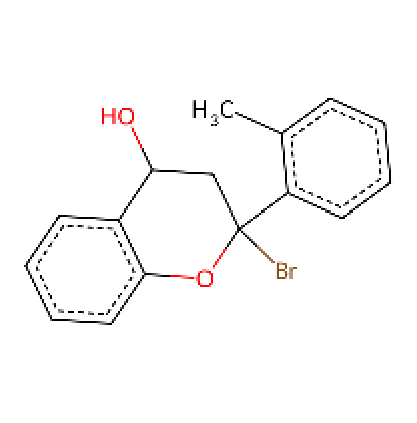 Cc1ccccc1C1(Br)CC(O)c2ccccc2O1